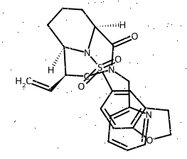 C=C[C@@H]1CN(Cc2ccccn2)C(=O)[C@@H]2CCC[C@H]1N2S(=O)(=O)c1ccc2c(c1)CCO2